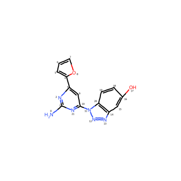 Nc1nc(-c2ccco2)cc(-n2nnc3cc(O)ccc32)n1